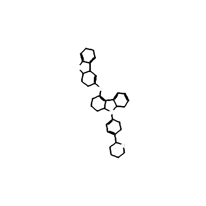 C1=CCC2C(=C1)C1=C(NC3=CC4C5=CCCC=C5SC4CC3)CCCC1N2C1=CC=C(C2CCCCN2)CC1